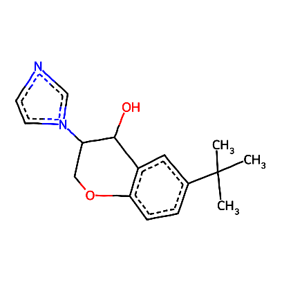 CC(C)(C)c1ccc2c(c1)C(O)C(n1ccnc1)CO2